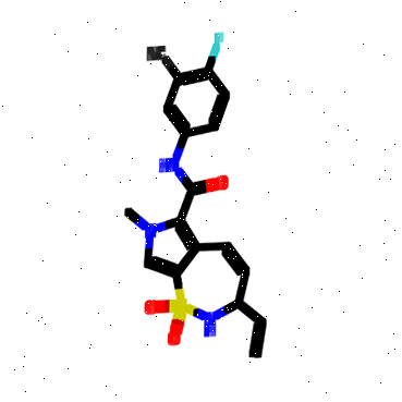 C=CC1C=Cc2c(cn(C)c2C(=O)Nc2ccc(F)c(C#N)c2)S(=O)(=O)N1